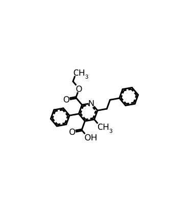 CCOC(=O)c1nc(CCc2ccccc2)c(C)c(C(=O)O)c1-c1ccccc1